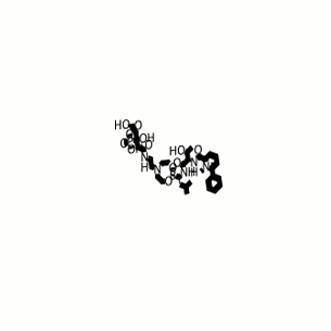 CC(C)C[C@@H](NC(=O)[C@H](NC(=O)c1cccc(-c2ccccc2)[n+]1C)C(C)O)B1OCCN(CCNC(=O)CC(O)(C2O[C@@H]2O)P(=O)([O-])O)CCO1